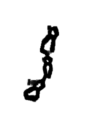 c1ccc2[nH]c(-c3ccc4cc(-[n+]5ccc6sccc6c5)sc4c3)cc2c1